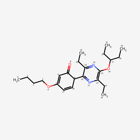 CCCCOC1=CC(=O)C(c2nc(CC)c(OC(CC)CC)nc2CC)C=C1